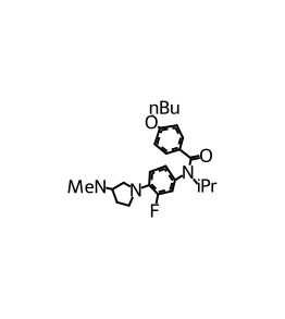 CCCCOc1ccc(C(=O)N(c2ccc(N3CCC(NC)C3)c(F)c2)C(C)C)cc1